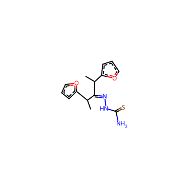 CC(C(=NNC(N)=S)C(C)c1ccco1)c1ccco1